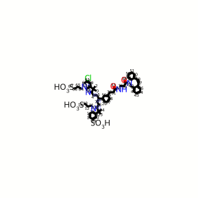 CC1(C)C(/C=C/C(=C/C=C2\N(CCCS(=O)(=O)O)c3ccc(S(=O)(=O)O)cc3C2(C)C)c2cccc(CCC(=O)NCCC(=O)N3Cc4ccccc4C#Cc4ccccc43)c2)=Nc2c1cc(Cl)c[n+]2CCCS(=O)(=O)O